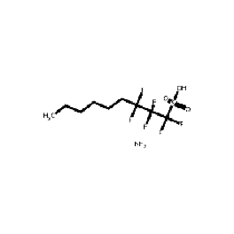 CCCCCCC(F)(F)C(F)(F)C(F)(F)S(=O)(=O)O.N